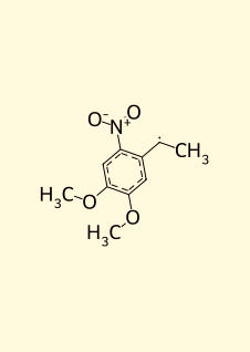 C[CH]c1cc(OC)c(OC)cc1[N+](=O)[O-]